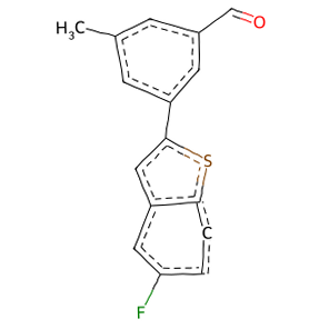 Cc1cc(C=O)cc(-c2cc3cc(F)ccc3s2)c1